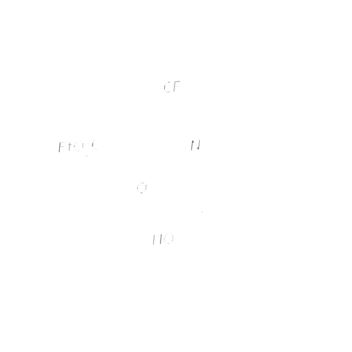 CCOC(=O)c1oc(C2(O)CCC2)nc1C(F)(F)F